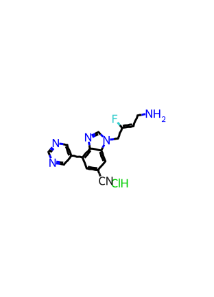 Cl.N#Cc1cc(-c2cncnc2)c2ncn(CC(F)=CCN)c2c1